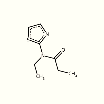 CCC(=O)N(CC)c1nccs1